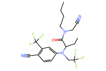 CCCCN(CC#N)C(=O)C(CC)N(CC(F)(F)F)c1ccc(C#N)c(C(F)(F)F)c1